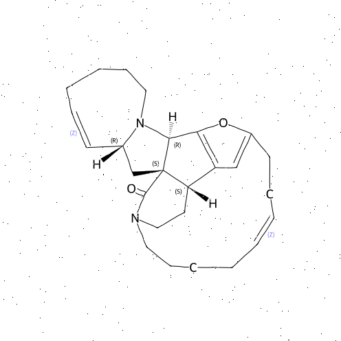 O=C1N2CCCC/C=C\CCc3cc4c(o3)[C@@H]3N5CCCC/C=C\[C@H]5C[C@@]13[C@H]4CC2